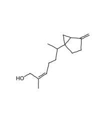 C=C1CCC2(C(C)CCC=C(C)CO)CC12